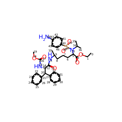 CCOC(=O)C(CCCC(C)NC(=O)[C@@H](NC(=O)OC)C(c1ccccc1)c1ccccc1)N(C(C)C)S(=O)(=O)c1ccc(N)cc1